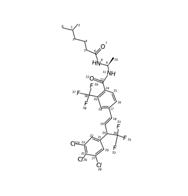 CC(C)CCCC(=O)N[C@@H](C)NC(=O)c1ccc(/C=C/C(c2cc(Cl)c(Cl)c(Cl)c2)C(F)(F)F)cc1C(F)(F)F